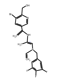 C=CN(/C=C(\C)NC(=C)c1cnc(CO)c(Br)c1)Cc1cc(F)c(F)c(F)c1